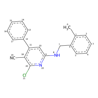 Cc1ccccc1CNc1cc(-c2ccccc2)c(C#N)c(Cl)n1